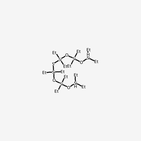 CC[SiH](CC)O[Si](CC)(CC)O[Si](CC)(CC)S[Si](CC)(CC)O[Si](CC)(CC)O[SiH](CC)CC